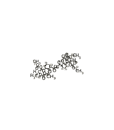 CCOC(=O)OC(C)Oc1cccc(C(=O)OOC(=O)c2cccc(OC(C)OC(=O)OCC)c2OC(C)OC(=O)OCC)c1OC(C)OC(=O)OCC